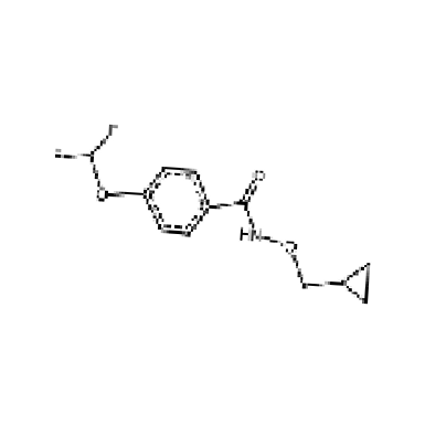 O=C(NOCC1CC1)c1ccc(OC(F)F)cc1